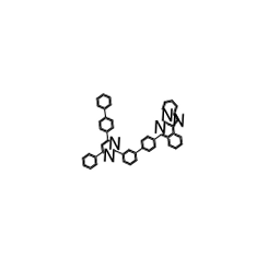 c1ccc(-c2ccc(-c3cc(-c4ccccc4)nc(-c4cccc(-c5ccc(-c6nc7c(nc8ccccn87)c7ccccc67)cc5)c4)n3)cc2)cc1